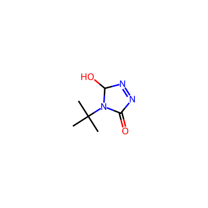 CC(C)(C)N1C(=O)N=NC1O